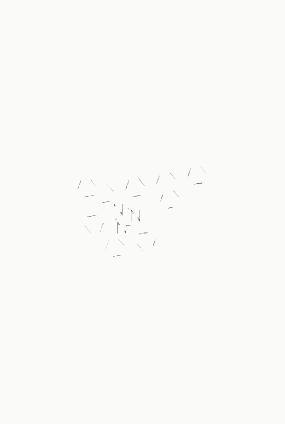 c1ccc(-c2ccccc2-c2nc(-c3cccc(-c4ccc(-c5ccccc5)c5ccccc45)c3)nc(-c3ccccc3-c3cccc4ccccc34)n2)cc1